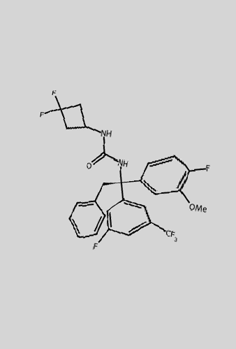 COc1cc([C@@](Cc2ccccc2)(NC(=O)NC2CC(F)(F)C2)c2cc(F)cc(C(F)(F)F)c2)ccc1F